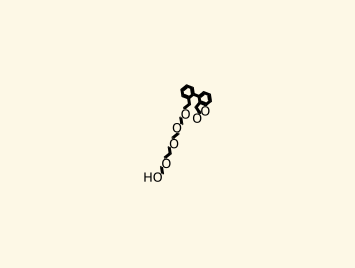 O=C1Cc2c(cccc2-c2ccccc2CCOCCOCCOCCCOCCO)O1